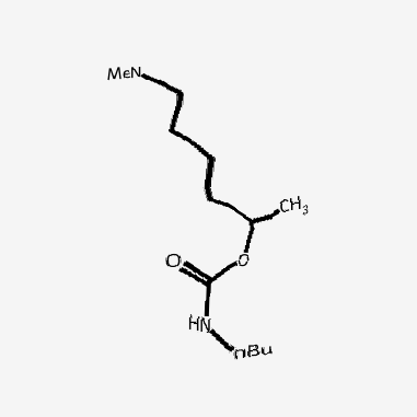 CCCCNC(=O)OC(C)CCCCNC